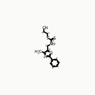 Cc1nc(-c2ccccc2)oc1CNC(=S)SCCC#N